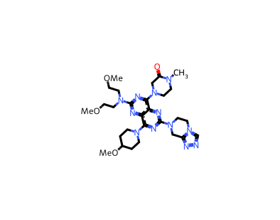 COCCN(CCOC)c1nc(N2CCN(C)C(=O)C2)c2nc(N3CCn4cnnc4C3)nc(N3CCC(OC)CC3)c2n1